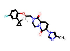 Cc1cn(-c2ccc3n(c2=O)CCN(CCOc2ccc(F)cc2C2(C(F)(F)F)CC2)C3=O)cn1